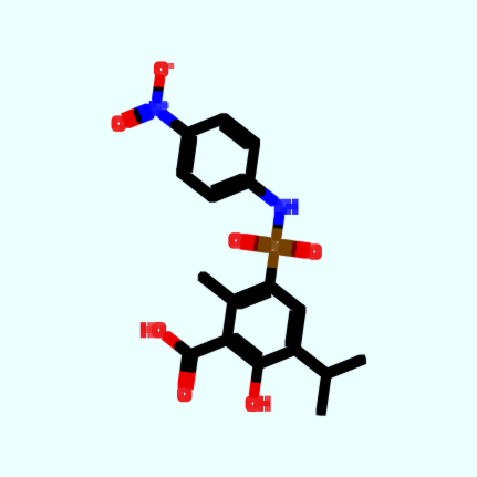 Cc1c(S(=O)(=O)Nc2ccc([N+](=O)[O-])cc2)cc(C(C)C)c(O)c1C(=O)O